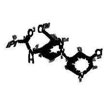 CC(C)C(=O)Nc1cn(-c2cncc(Cl)c2)nc1Cl